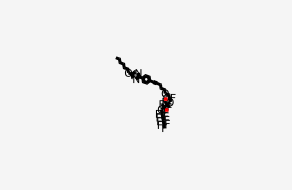 CCCCCCOc1cnc(-c2ccc(C#CCCCOCC(F)(F)OC(F)(F)C(F)(F)OC(F)(F)C(F)(F)C(F)(F)C(F)(F)F)cc2)nc1